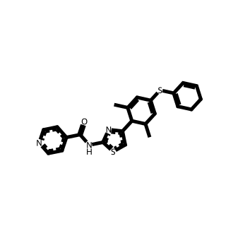 CC1=CC(SC2=CCCC=C2)=CC(C)C1c1csc(NC(=O)c2ccncc2)n1